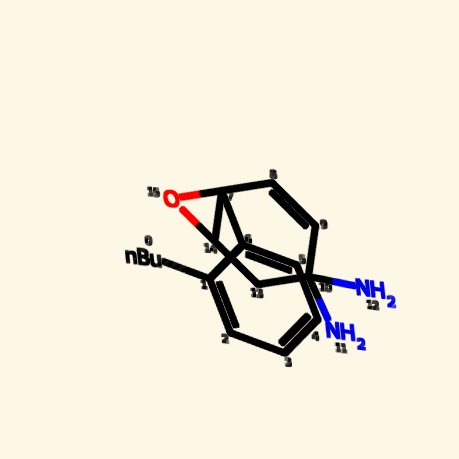 CCCCc1ccccc1C12C=CC(N)(N)CC1O2